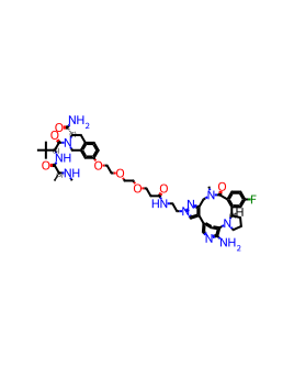 CN[C@@H](C)C(=O)N[C@H](C(=O)N1Cc2cc(OCCOCCOCCC(=O)NCCn3cc4c(n3)CN(C)C(=O)c3ccc(F)cc3[C@H]3CCCN3c3cc-4cnc3N)ccc2C[C@H]1C(N)=O)C(C)(C)C